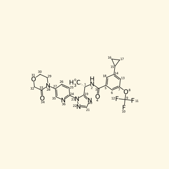 C[C@H](NC(=O)c1cc(OC(F)(F)F)cc(C2CC2)c1)c1ncnn1-c1ccc(N2CCOCC2=O)cn1